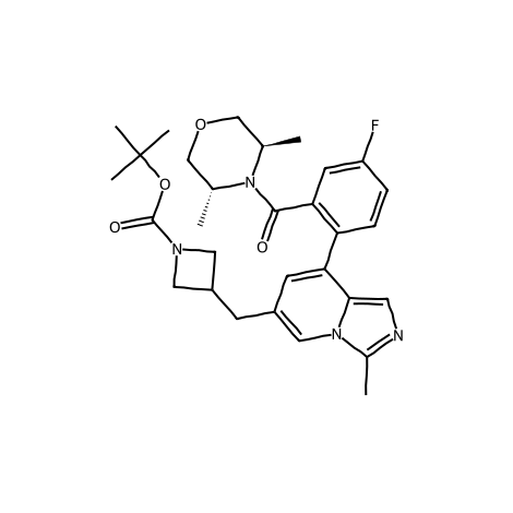 Cc1ncc2c(-c3ccc(F)cc3C(=O)N3[C@H](C)COC[C@H]3C)cc(CC3CN(C(=O)OC(C)(C)C)C3)cn12